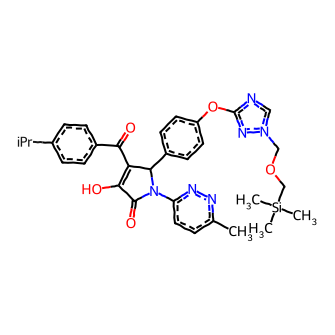 Cc1ccc(N2C(=O)C(O)=C(C(=O)c3ccc(C(C)C)cc3)C2c2ccc(Oc3ncn(COC[Si](C)(C)C)n3)cc2)nn1